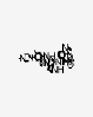 COc1cc(N2CCN(C)CC2)c(C)cc1Nc1nc(Nc2ccc3nccnc3c2N(C)S(C)(=O)=O)c2[nH]ccc2n1